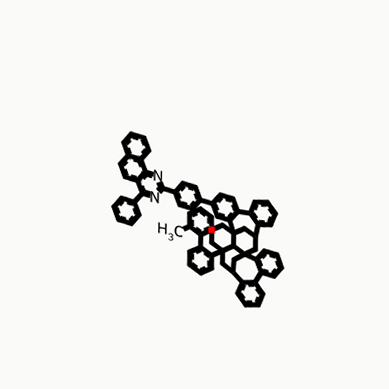 Cc1ccccc1-c1ccccc1C12CCCC34CC(CC5(CC(C1)c1ccccc1-c1ccccc15)C23)c1ccccc1-c1ccc(-c2ccc(-c3nc(-c5ccccc5)c5ccc6ccccc6c5n3)cc2)cc14